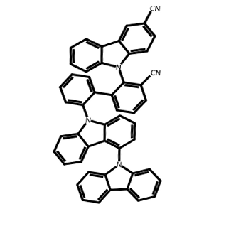 N#Cc1ccc2c(c1)c1ccccc1n2-c1c(C#N)cccc1-c1ccccc1-n1c2ccccc2c2c(-n3c4ccccc4c4ccccc43)cccc21